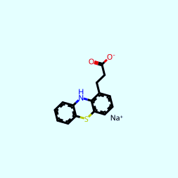 O=C([O-])CCc1cccc2c1Nc1ccccc1S2.[Na+]